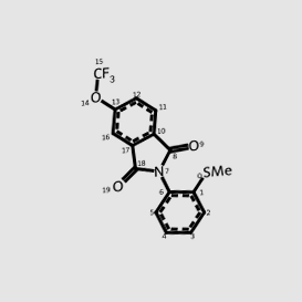 CSc1ccccc1N1C(=O)c2ccc(OC(F)(F)F)cc2C1=O